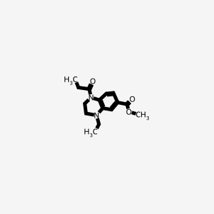 CCC(=O)N1CCN(CC)c2cc(C(=O)OC)ccc21